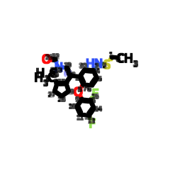 CCSNc1ccc(Oc2ccc(F)cc2F)c(/C(=C/N(C)C=O)C2=C(C)CCC2)c1